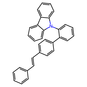 C(=C\c1ccc(-c2ccccc2-n2c3ccccc3c3ccccc32)cc1)/c1ccccc1